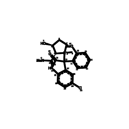 CNC(=O)[C@@H]1[C@@H](O)CC[N+]1(C)C1(c2ccccc2OC)C(=O)Nc2ccc(Cl)cc21